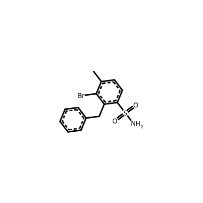 Cc1ccc(S(N)(=O)=O)c(Cc2ccccc2)c1Br